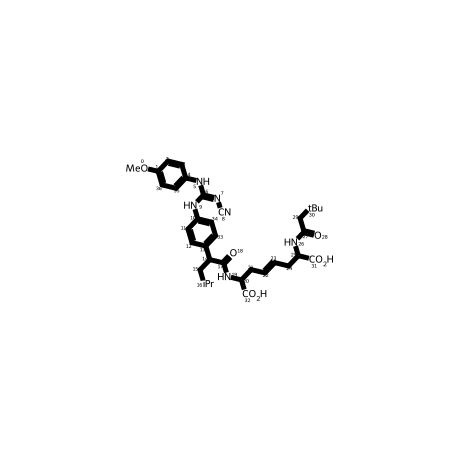 COc1ccc(NC(=NC#N)Nc2ccc(C(CC(C)C)C(=O)NC(CC=CCC(NC(=O)CC(C)(C)C)C(=O)O)C(=O)O)cc2)cc1